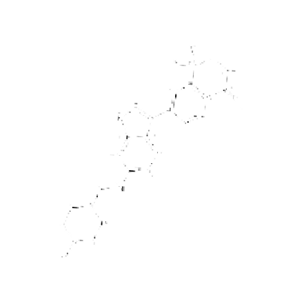 CN1CCC(CNc2ncc3c(-c4ccc5c(c4)C(C)(C)CNC5=O)c[nH]c3n2)CC1